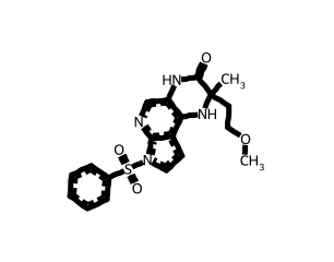 COCCC1(C)Nc2c(cnc3c2ccn3S(=O)(=O)c2ccccc2)NC1=O